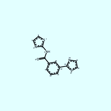 O=C(Nc1nccs1)c1cccc(-c2nccs2)c1